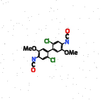 COc1cc(-c2cc(OC)c(N=C=O)cc2Cl)c(Cl)cc1N=C=O